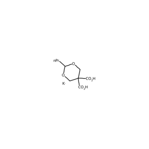 CCCC1OCC(C(=O)O)(C(=O)O)CO1.[K]